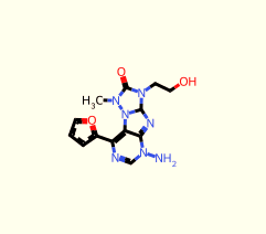 CN1C(=O)N(CCO)C2N=C3C(=C(c4ccco4)N=CN3N)N21